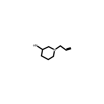 C=CCN1CCCC([NH])C1